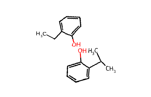 CC(C)c1ccccc1O.CCc1ccccc1O